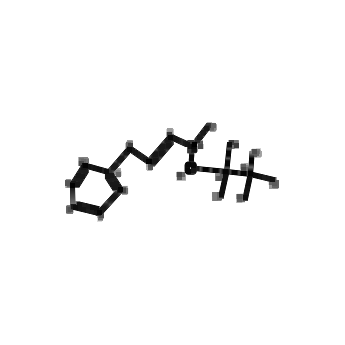 CB(/C=C/Cc1ccccc1)OC(C)(C)C(C)(C)C